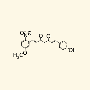 COc1ccc([N+](=O)[O-])c(C=CC(=O)CC(=O)C=Cc2ccc(O)cc2)c1